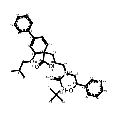 CC(C)COC1C=C(c2ccccc2)C=CC1(CCCN(C[C@H](O)c1cccnc1)C(=O)OC(C)(C)C)C(=O)O